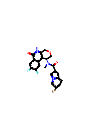 CN(C(=O)c1cc2ccc(Br)cn2c1)[C@@H]1COCc2[nH]c(=O)c3cc(F)c(F)cc3c21